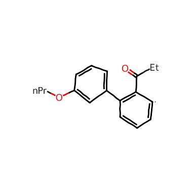 CCCOc1cccc(-c2ccc[c]c2C(=O)CC)c1